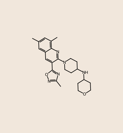 Cc1cc(C)c2nc(N3CCC(NC4CCOCC4)CC3)c(-c3nc(C)no3)cc2c1